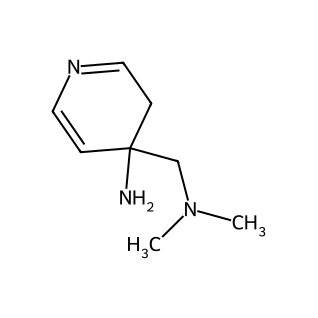 CN(C)CC1(N)C=CN=CC1